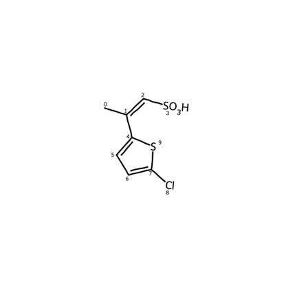 C/C(=C/S(=O)(=O)O)c1ccc(Cl)s1